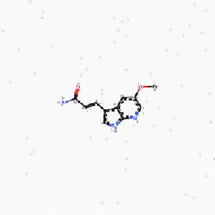 CC(C)Oc1cnc2[nH]cc(C=CC(N)=O)c2c1